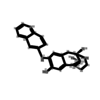 Oc1cc2c(cc1Nc1ccc3ncccc3c1)C[C@@H]1NCC[C@]23CCCC[C@H]13